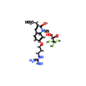 CCn1c(=O)c(CC(=O)O)cc2ccc(OCCCNC(=N)N)cc21.O=C(O)C(F)(F)F